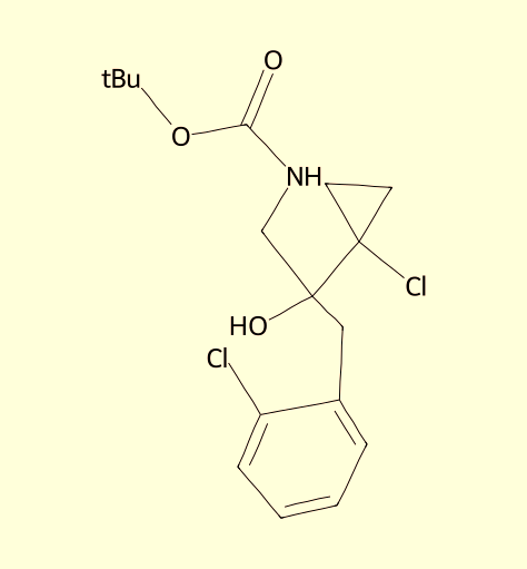 CC(C)(C)OC(=O)NCC(O)(Cc1ccccc1Cl)C1(Cl)CC1